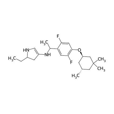 CCC1CC(NC(C)c2cc(F)c(O[C@@H]3C[C@@H](C)CC(C)(C)C3)cc2F)=CN1